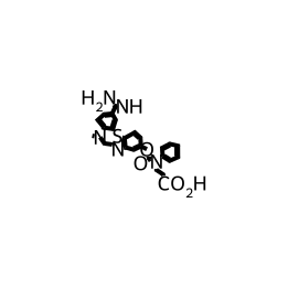 CN(Cc1nc2cc(OC(=O)N(CCC(=O)O)c3ccccc3)ccc2s1)c1ccc(C(=N)N)cc1